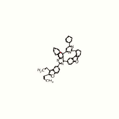 C=Cc1c(/C=C\C)oc2ccc(-c3nc(-c4ccccc4)nc(-c4ccc5oc6cccc(-c7nc(-c8ccccc8)cc(-c8ccccc8)n7)c6c5c4)n3)cc12